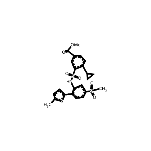 COC(=O)c1ccc(C2CC2)c(S(=O)(=O)Nc2cc(S(C)(=O)=O)ccc2-c2ccc(C)s2)c1